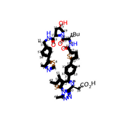 Cc1ncsc1-c1ccc([C@H](C)NC(=O)[C@@H]2C[C@@H](O)CN2C(=O)[C@@H](NC(=O)c2ccc(-c3ccc(C4=N[C@@H](CC(=O)O)c5nnc(C)n5-c5sc(C)c(C)c54)cc3)s2)C(C)(C)C)cc1